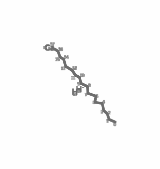 CCCCCCCCCCCCCCCC[CH2][Ga].[H-].[H-]